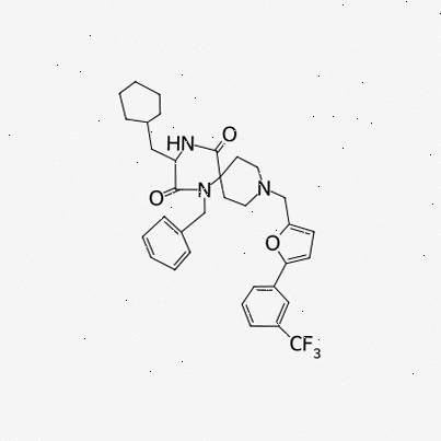 O=C1C(CC2CCCCC2)NC(=O)C2(CCN(Cc3ccc(-c4cccc(C(F)(F)F)c4)o3)CC2)N1Cc1ccccc1